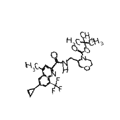 Cc1cc(C(=O)NCC2COCCN2C(=O)OC(C)(C)C)nc2c(C(F)(F)F)cc(C3CC3)cc12